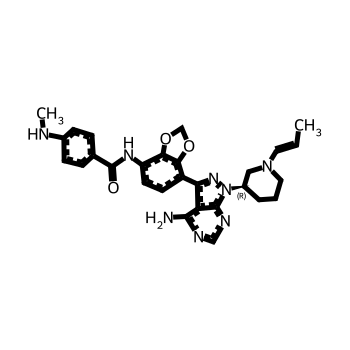 CC=CN1CCC[C@@H](n2nc(-c3ccc(NC(=O)c4ccc(NC)cc4)c4c3OCO4)c3c(N)ncnc32)C1